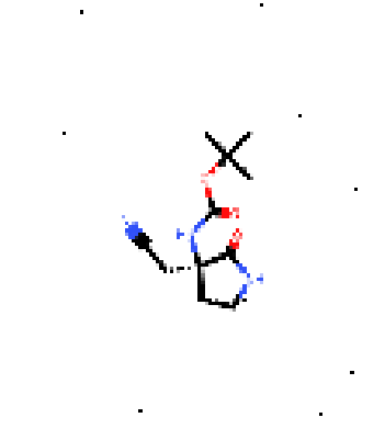 CC(C)(C)OC(=O)N[C@]1(CC#N)CCNC1=O